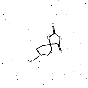 CCCN1CCC2(CC1)OC(=O)[N]C2=O